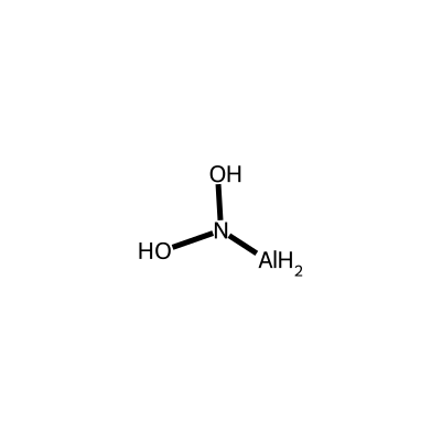 O[N](O)[AlH2]